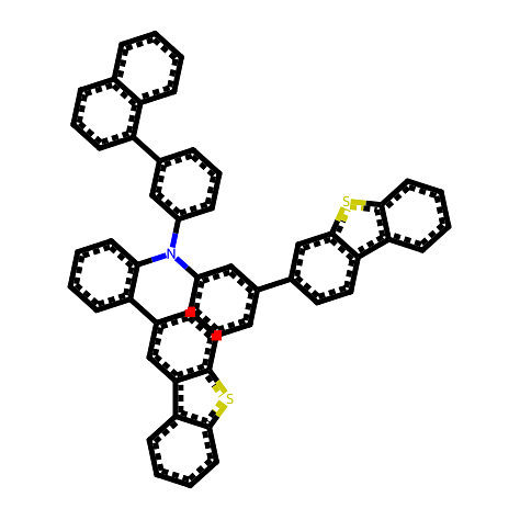 c1cc(-c2ccc3c(c2)sc2ccccc23)cc(N(c2cccc(-c3cccc4ccccc34)c2)c2ccccc2-c2ccc3sc4ccccc4c3c2)c1